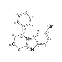 Brc1ccc2nc3n(c2c1)[C@@H](c1ccccc1)COC3